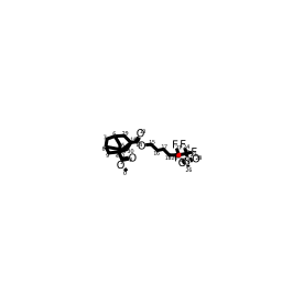 COC(=O)C12CC3CC(C1)CC(C(=O)OCCCCC(F)(F)C(F)(F)S(C)(=O)=O)(C3)C2